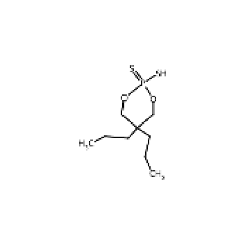 CCCC1(CCC)COP(=S)(S)OC1